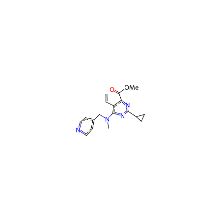 C=Cc1c(C(=O)OC)nc(C2CC2)nc1N(C)Cc1ccncc1